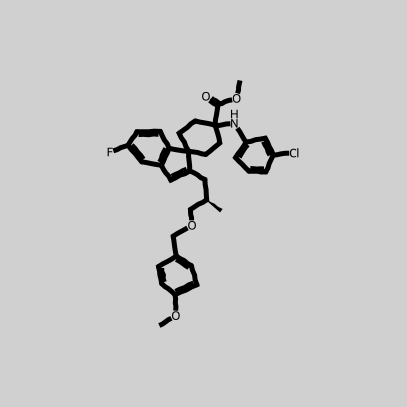 COC(=O)C1(Nc2cccc(Cl)c2)CCC2(CC1)C(C[C@@H](C)COCc1ccc(OC)cc1)=Cc1cc(F)ccc12